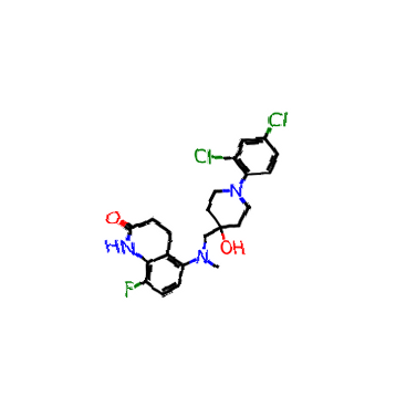 CN(CC1(O)CCN(c2ccc(Cl)cc2Cl)CC1)c1ccc(F)c2c1CCC(=O)N2